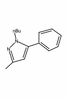 CCCCn1nc(C)cc1-c1ccccc1